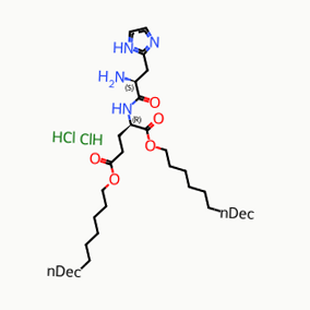 CCCCCCCCCCCCCCCCOC(=O)CC[C@@H](NC(=O)[C@@H](N)Cc1ncc[nH]1)C(=O)OCCCCCCCCCCCCCCCC.Cl.Cl